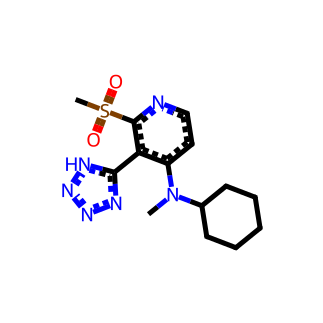 CN(c1ccnc(S(C)(=O)=O)c1-c1nnn[nH]1)C1CCCCC1